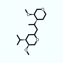 CO[C@H]1COCC[C@H]1C(C)CC1C[C@H](C(C)C)[C@H](OC)CO1